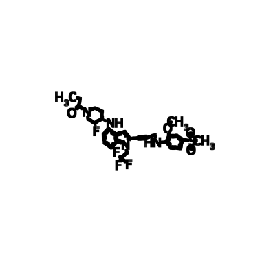 CCC(=O)N1CC[C@@H](Nc2cccc3c2cc(C#CCNc2ccc(S(C)(=O)=O)cc2OC)n3CC(F)(F)F)[C@@H](F)C1